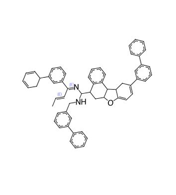 C/C=C/C(=N\C(NCc1cccc(-c2ccccc2)c1)C1CC2OC3=CC=C(c4cccc(-c5ccccc5)c4)CC3C2c2ccccc21)c1cccc(C2C=CC=CC2)c1